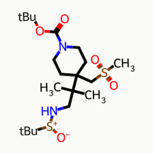 CC(C)(C)OC(=O)N1CCC(CS(C)(=O)=O)(C(C)(C)CN[S+]([O-])C(C)(C)C)CC1